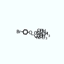 CC(C)(C)[Si](C)(C)O[C@@H](C=N)COc1ccc(Br)cc1